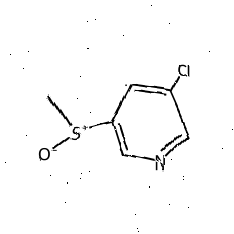 C[S+]([O-])c1[c]c(Cl)cnc1